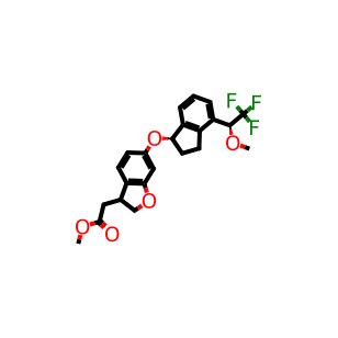 COC(=O)CC1COc2cc(O[C@@H]3CCc4c3cccc4[C@H](OC)C(F)(F)F)ccc21